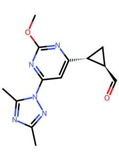 COc1nc([C@@H]2C[C@H]2C=O)cc(-n2nc(C)nc2C)n1